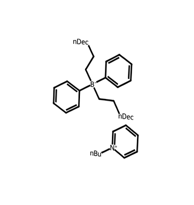 CCCCCCCCCCCC[B-](CCCCCCCCCCCC)(c1ccccc1)c1ccccc1.CCCC[n+]1ccccc1